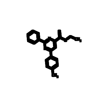 CCOC(=O)c1cc(-c2ccc(C)cc2)nc(-c2ccccc2)n1